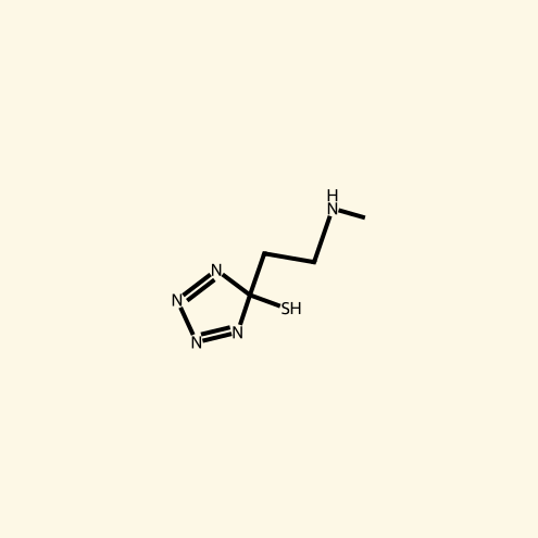 CNCCC1(S)N=NN=N1